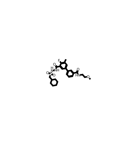 COCCNC(=O)c1cccc(-c2cc(C)c(F)c(C(=O)NNS(=O)(=O)CC3CCCCC3)c2)c1